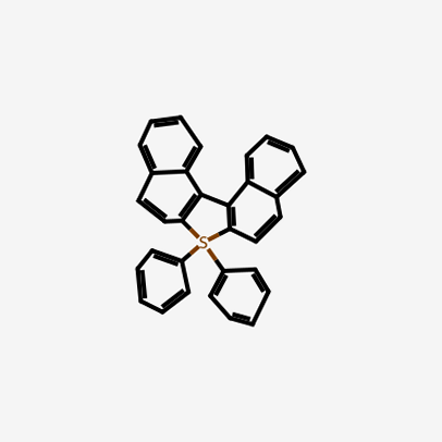 c1ccc(S2(c3ccccc3)c3ccc4ccccc4c3-c3c2ccc2ccccc32)cc1